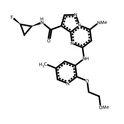 CNc1cc(Nc2cc(C)cnc2OCCOC)nc2c(C(=O)N[C@H]3C[C@H]3F)cnn12